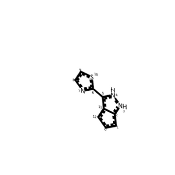 c1cc2[nH][nH]c(-c3nccs3)c-2c1